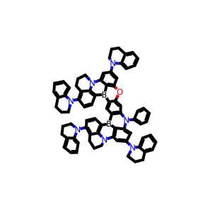 c1ccc(N2c3cc4c(cc3B3c5ccc(N6CCCc7ccccc76)c6c5N(CCC6)c5cc(N6CCCc7ccccc76)cc2c53)B2c3ccc(N5CCCc6ccccc65)c5c3N(CCC5)c3cc(N5CCCc6ccccc65)cc(c32)O4)cc1